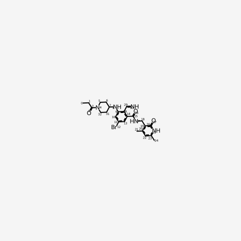 CCC(=O)N1CCC(Nc2cc(Br)cc(C(=O)NCc3c(C)cc(C)[nH]c3=O)c2C=N)CC1